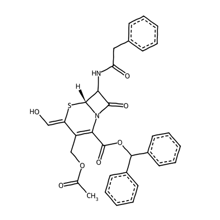 CC(=O)OCC1=C(C(=O)OC(c2ccccc2)c2ccccc2)N2C(=O)C(NC(=O)Cc3ccccc3)[C@H]2S/C1=C\O